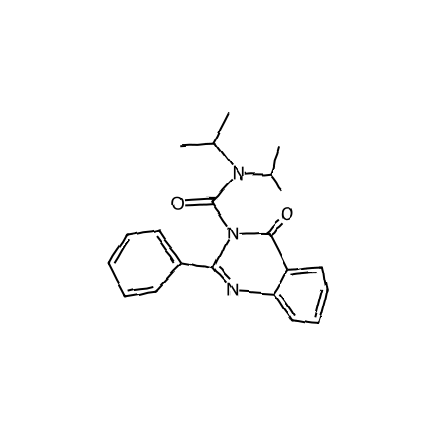 CC(C)N(C(=O)n1c(-c2ccccc2)nc2ccccc2c1=O)C(C)C